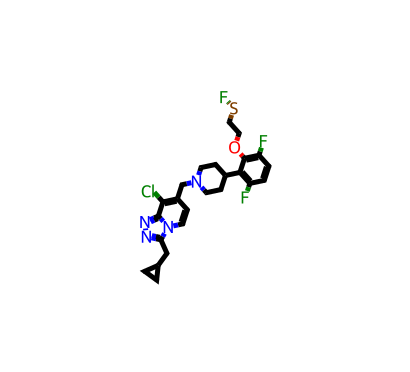 FSCCOc1c(F)ccc(F)c1C1CCN(Cc2ccn3c(CC4CC4)nnc3c2Cl)CC1